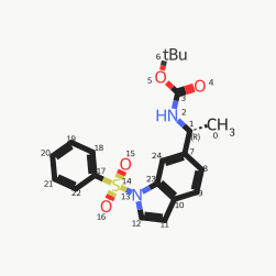 C[C@@H](NC(=O)OC(C)(C)C)c1ccc2ccn(S(=O)(=O)c3ccccc3)c2c1